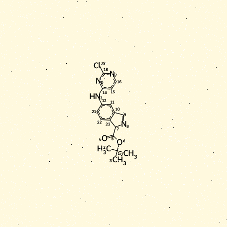 CC(C)(C)OC(=O)C1N=Cc2cc(Nc3ccnc(Cl)n3)ccc21